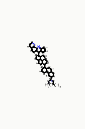 C=C/C=C(\C=C/C)c1ccc2ccc3c(C4=CC=C5C=CC6=C(c7c8ccccc8nc8c7ccc7cccnc78)C=CC7=CC=C4C5C76)cccc3c2c1